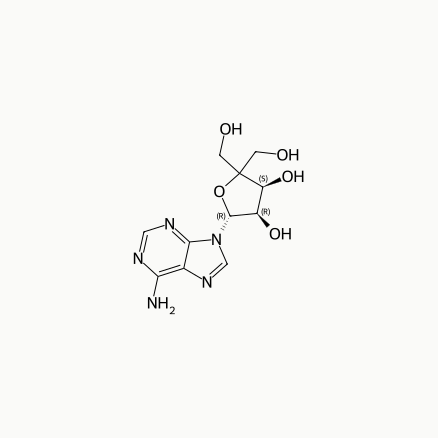 Nc1ncnc2c1ncn2[C@@H]1OC(CO)(CO)[C@@H](O)[C@H]1O